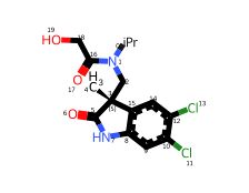 CC(C)N(C[C@@]1(C)C(=O)Nc2cc(Cl)c(Cl)cc21)C(=O)CO